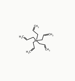 C=C[CH2][Bi]([CH2]C=C)([CH2]C=C)([CH2]C=C)[CH2]C=C